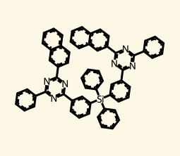 c1ccc(-c2nc(-c3cccc([Si](c4ccccc4)(c4ccccc4)c4cccc(-c5nc(-c6ccccc6)nc(-c6ccc7ccccc7c6)n5)c4)c3)nc(-c3ccc4ccccc4c3)n2)cc1